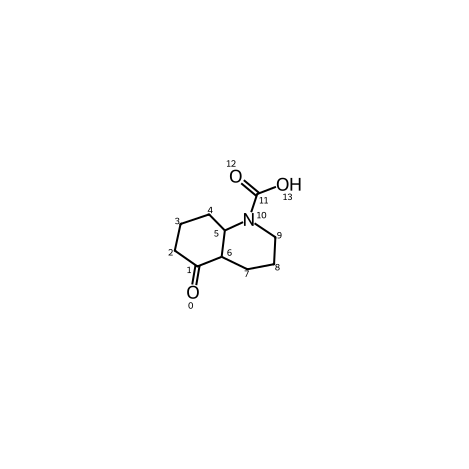 O=C1CCCC2C1CCCN2C(=O)O